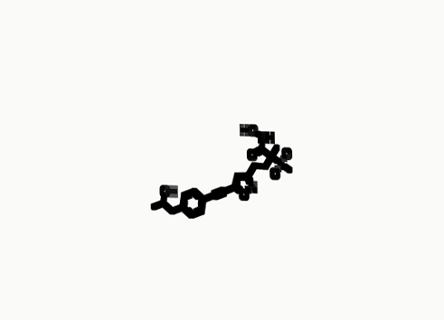 CC(O)Cc1ccc(C#Cc2cc(CCC(C)(C(=O)NO)S(C)(=O)=O)no2)cc1